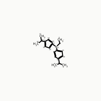 [CH2]CN(c1ccc(C(C)C)cc1)c1ccc(C(C)C)cc1